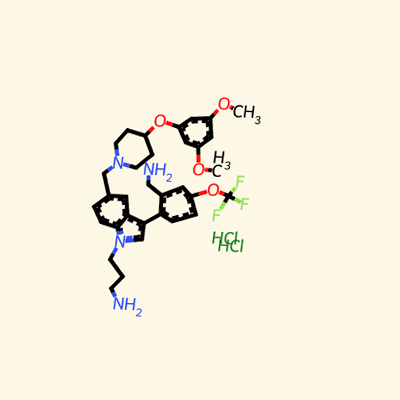 COc1cc(OC)cc(OC2CCN(Cc3ccc4c(c3)c(-c3ccc(OC(F)(F)F)cc3CN)cn4CCCN)CC2)c1.Cl.Cl